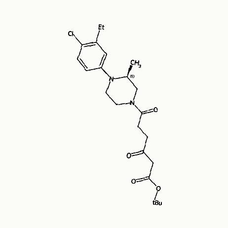 CCc1cc(N2CCN(C(=O)CCC(=O)CC(=O)OC(C)(C)C)C[C@@H]2C)ccc1Cl